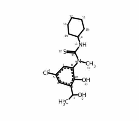 CC(O)c1cc(Cl)cc(N(C)C(=S)NC2CCCCC2)c1O